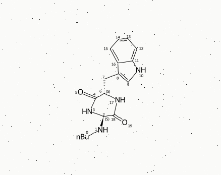 CCCCN[C@H]1NC(=O)[C@H](Cc2c[nH]c3ccccc23)NC1=O